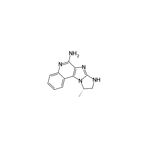 C[C@H]1CNc2nc3c(N)nc4ccccc4c3n21